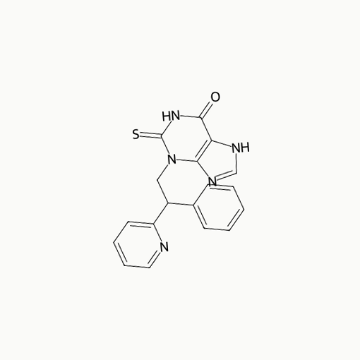 O=c1[nH]c(=S)n(CC(c2ccccc2)c2ccccn2)c2nc[nH]c12